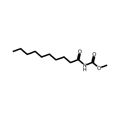 CCCCCCCCCC(=O)NC(=O)OC